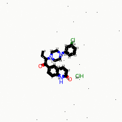 CCC(C(=O)c1ccc2[nH]c(=O)ccc2c1)N1CCN(c2cccc(Cl)c2)CC1.Cl